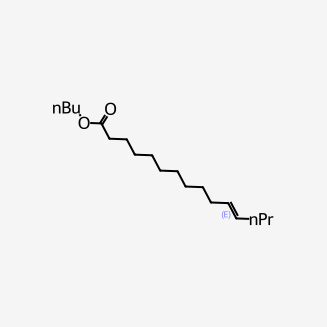 CCC/C=C/CCCCCCCCCC(=O)OCCCC